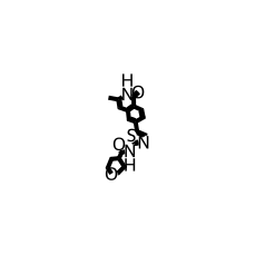 Cc1cc2cc(-c3cnc(NC(=O)C4CCOCC4)s3)ccc2c(=O)[nH]1